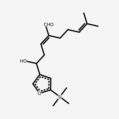 CC(C)=CCCC(C=O)=CCC(O)c1coc([Si](C)(C)C)c1